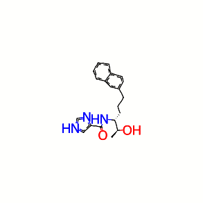 C[C@H](O)[C@@H](CCCc1ccc2ccccc2c1)NC(=O)c1c[nH]cn1